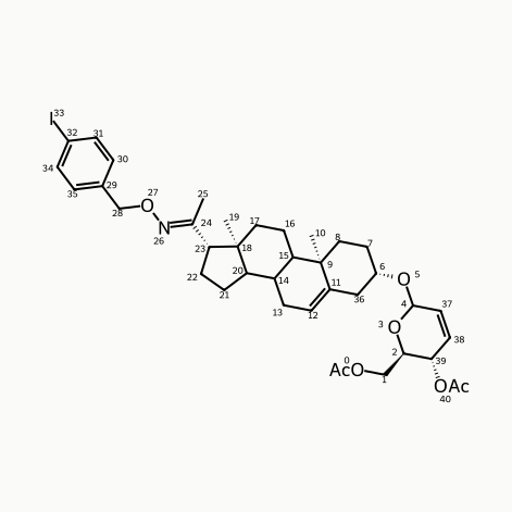 CC(=O)OC[C@H]1OC(O[C@H]2CC[C@@]3(C)C(=CCC4C3CC[C@@]3(C)C4CC[C@@H]3/C(C)=N/OCc3ccc(I)cc3)C2)C=C[C@@H]1OC(C)=O